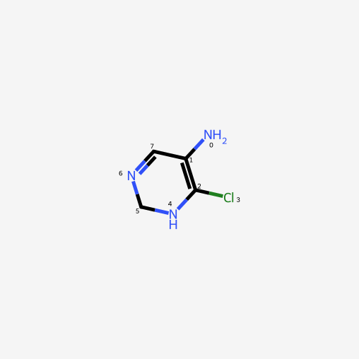 NC1=C(Cl)NCN=C1